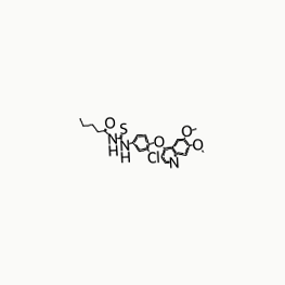 CCCCC(=O)NC(=S)Nc1ccc(Oc2ccnc3cc(OC)c(OC)cc23)c(Cl)c1